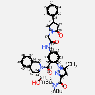 CCCCN(CCCC)C(=O)c1cc(C)n(-c2ccc(NC(=O)CN3CC(c4ccccc4)CC3=O)cc2C(=O)N2Cc3ccccc3C[C@H]2CO)n1